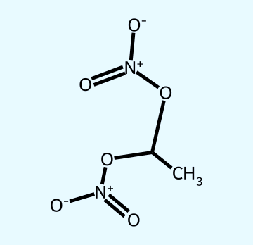 CC(O[N+](=O)[O-])O[N+](=O)[O-]